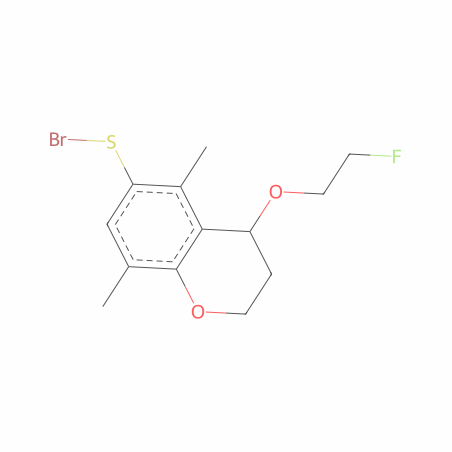 Cc1cc(SBr)c(C)c2c1OCCC2OCCF